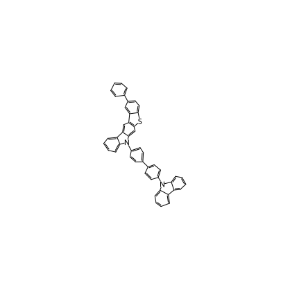 c1ccc(-c2ccc3sc4cc5c(cc4c3c2)c2ccccc2n5-c2ccc(-c3ccc(-n4c5ccccc5c5ccccc54)cc3)cc2)cc1